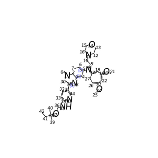 C=NCC(=C\C(=C/C)N(CCN1CCOCC1)C1=CC(OC)=CC(OC)=CC1)/N=C(\C)c1ccc(NCOC(C)(C)CC)nc1